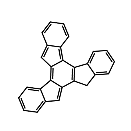 C1=c2c3c(c4c(c2-c2ccccc21)C=c1ccccc1=4)-c1ccccc1C3